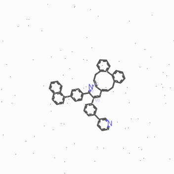 C/N=C(\C(=C/C1=CCc2ccccc2-c2ccccc2C/C=C\1)c1cccc(-c2cccnc2)c1)c1ccc(-c2cccc3ccccc23)cc1